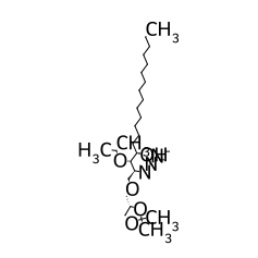 CCCCCCCCCCCCCC[C@@H](O)[C@@H](OC(C)C)[C@H](COC[C@H]1COC(C)(C)O1)N=[N+]=[N-]